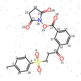 Cc1ccc(S(=O)(=O)CCC(=O)c2cccc(C(=O)ON3C(=O)CCC3=O)c2)cc1